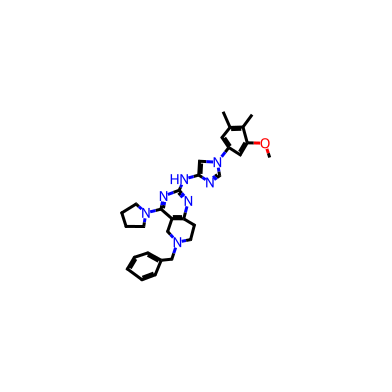 COc1cc(-n2cnc(Nc3nc4c(c(N5CCCC5)n3)CN(Cc3ccccc3)CC4)c2)cc(C)c1C